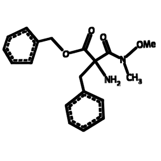 CON(C)C(=O)C(N)(Cc1ccccc1)C(=O)OCc1ccccc1